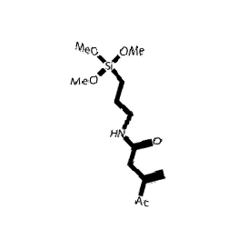 C=C(CC(=O)NCCC[Si](OC)(OC)OC)C(C)=O